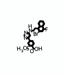 CSc1cc(-c2cc(NCCc3c(Br)cc(F)c4ccccc34)ncn2)ccc1C(=O)O